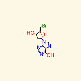 Oc1ncnc2c1ncn2[C@H]1C[C@H](O)/C(=C/Br)O1